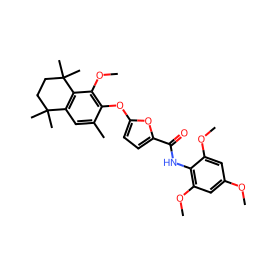 COc1cc(OC)c(NC(=O)c2ccc(Oc3c(C)cc4c(c3OC)C(C)(C)CCC4(C)C)o2)c(OC)c1